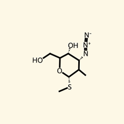 CS[C@@H]1OC(CO)[C@H](O)[C@H](N=[N+]=[N-])C1C